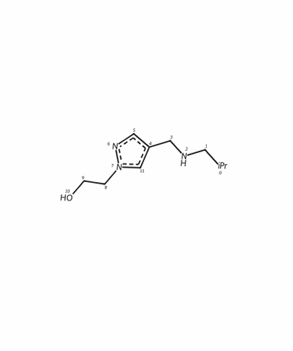 CC(C)CNCc1cnn(CCO)c1